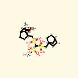 CC1(C)C2CCC1(CS(=O)(=O)C(S(C)(=O)=O)S(=O)(=O)CC13CCC(CC1)C3)C(=O)C2